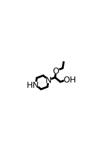 CCOC(CO)N1CCNCC1